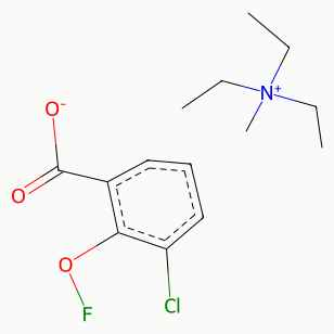 CC[N+](C)(CC)CC.O=C([O-])c1cccc(Cl)c1OF